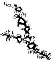 Cc1cc(C(=O)NC2CCN(C(=O)O)CC2)ccc1-c1ccc(C[C@H](NC(=O)[C@H]2CC[C@H](CNC(=O)OC(C)(C)C)CC2)C(=O)Nc2ccc(-c3nc(C(F)(F)C(F)(F)C(N)=O)n[nH]3)cc2)cc1